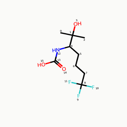 CC(C)(O)C(CCCC(F)(F)F)NC(=O)O